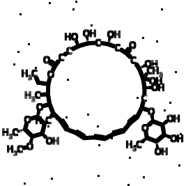 CCC1OC(=O)CC[C@@H](O)[C@H](O)C[C@H](O)CC(=O)C[C@H](O)[C@](C)(O)[C@@H](O)CC(O[C@@H]2O[C@H](C)[C@@H](O)[C@H](O)[C@@H]2O)/C=C/C=C/C=C/C=C/C=C/C(C)C(O[C@H]2C[C@@H](O)[C@@H](OC)[C@H](C)O2)C1C